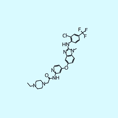 CCN1CCN(CC(=O)Nc2cc(Oc3ccc4c(c3)nc(Nc3ccc(C(F)(F)F)cc3Cl)n4C)ccn2)CC1